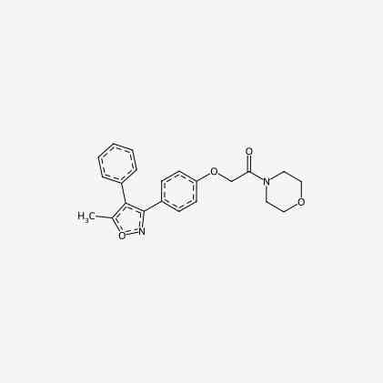 Cc1onc(-c2ccc(OCC(=O)N3CCOCC3)cc2)c1-c1ccccc1